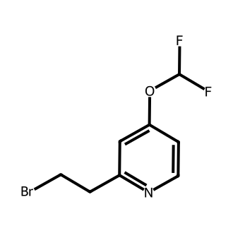 FC(F)Oc1ccnc(CCBr)c1